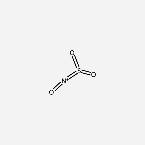 O=[N+]=S(=O)=O